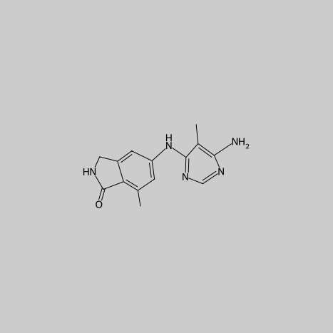 Cc1cc(Nc2ncnc(N)c2C)cc2c1C(=O)NC2